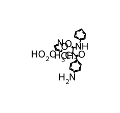 CC(C(=O)Nc1ccccc1)C(=O)c1ccc(N)cc1.Cc1oncc1C(=O)O